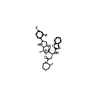 C[C@H](NC(=O)[C@H](CC(=O)N1CCCC[C@@H]1C)Nc1nc2ccccc2o1)C1NCC(c2ccc(F)cc2F)N1